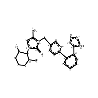 CCCCc1cn(C2C(CC)CCCC2C(C)C)c(=O)n1Cc1ccc(-c2ccccc2-c2nnn[nH]2)nc1